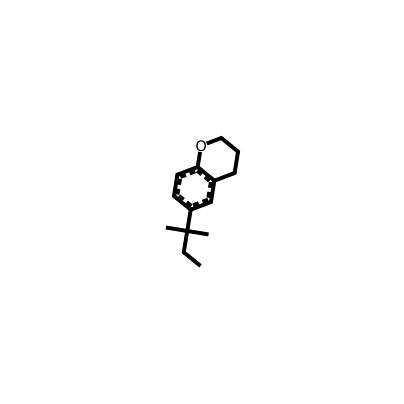 CCC(C)(C)c1ccc2c(c1)CCCO2